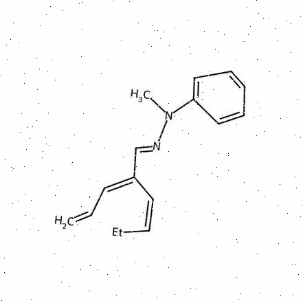 C=C/C=C(C=NN(C)c1ccccc1)\C=C/CC